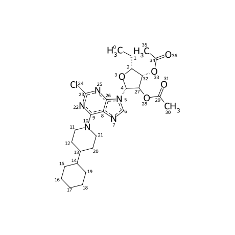 CC[C@H]1O[C@@H](n2cnc3c(N4CCC(C5CCCCC5)CC4)nc(Cl)nc32)C(OC(C)=O)[C@H]1OC(C)=O